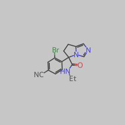 CCNC(=O)C1(c2ccc(C#N)cc2Br)CCc2cncn21